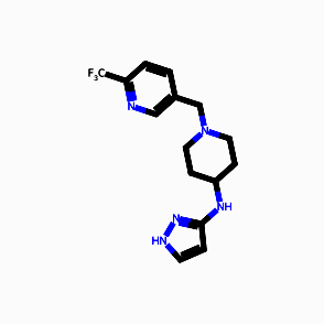 FC(F)(F)c1ccc(CN2CCC(Nc3cc[nH]n3)CC2)cn1